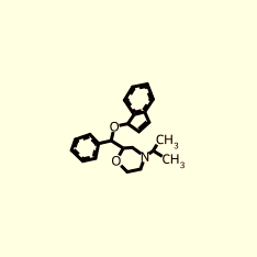 CC(C)N1CCOC(C(OC2C=Cc3ccccc32)c2ccccc2)C1